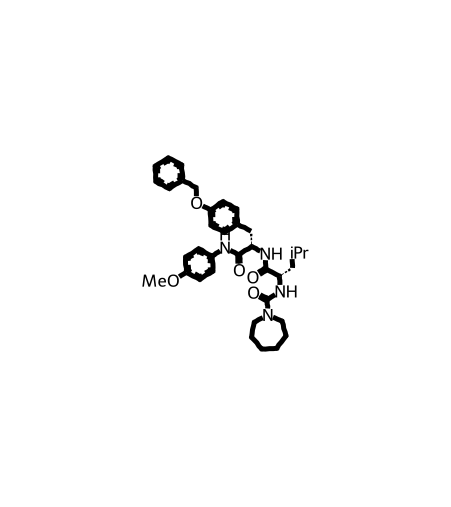 COc1ccc(NC(=O)[C@H](Cc2ccc(OCc3ccccc3)cc2)NC(=O)[C@H](CC(C)C)NC(=O)N2CCCCCC2)cc1